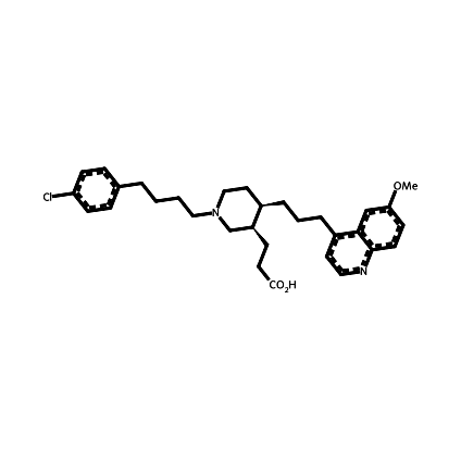 COc1ccc2nccc(CCC[C@@H]3CCN(CCCCc4ccc(Cl)cc4)C[C@@H]3CCC(=O)O)c2c1